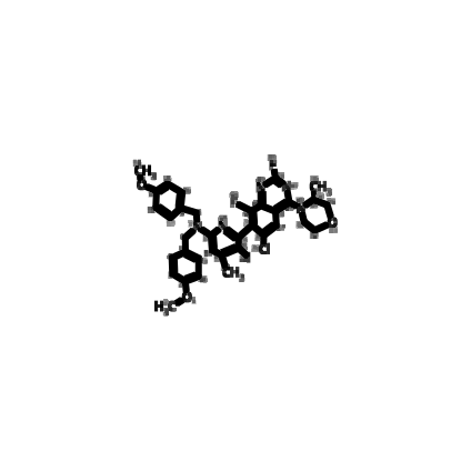 COc1ccc(CN(Cc2ccc(OC)cc2)c2cc(C)c(I)c(-c3c(Cl)cc4c(N5CCOC[C@@H]5C)nc(F)nc4c3F)n2)cc1